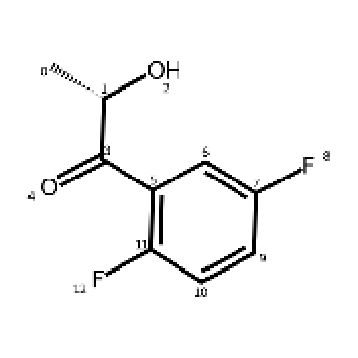 C[C@H](O)C(=O)c1cc(F)ccc1F